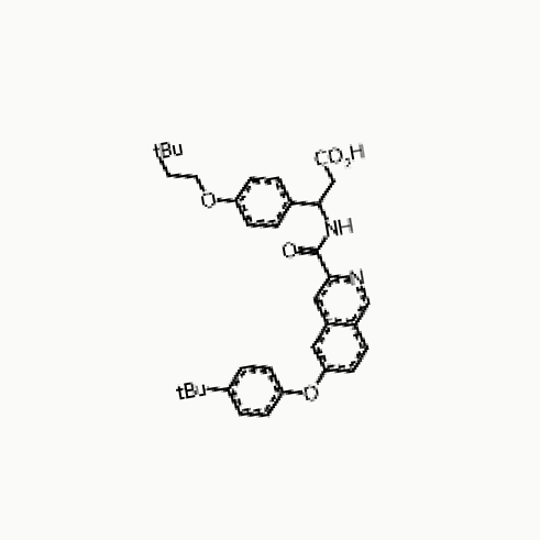 CC(C)(C)CCOc1ccc(C(CC(=O)O)NC(=O)c2cc3cc(Oc4ccc(C(C)(C)C)cc4)ccc3cn2)cc1